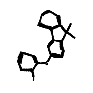 CC1(C)c2ccccc2-c2cc(Sc3ccccc3I)ccc21